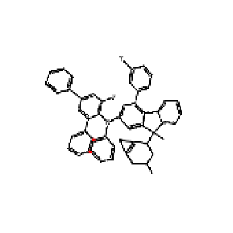 CC1CC2=C(C2)C(C2(C)c3ccccc3-c3c(-c4cccc(F)c4)cc(N(c4ccccc4)c4c(F)cc(-c5ccccc5)cc4-c4ccccc4)cc32)C1